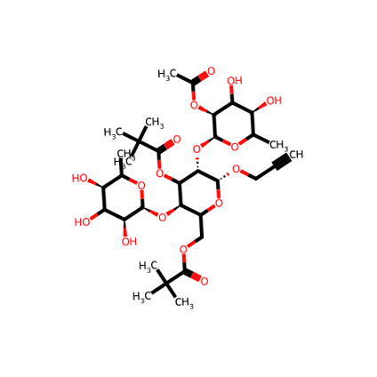 C#CCO[C@@H]1OC(COC(=O)C(C)(C)C)[C@@H](O[C@@H]2OC(C)[C@H](O)C(O)[C@@H]2O)C(OC(=O)C(C)(C)C)[C@@H]1O[C@@H]1OC(C)[C@H](O)C(O)[C@@H]1OC(C)=O